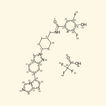 O=C(NCC1CCC(n2cc3ccc(-c4csc5cncn45)cc3n2)CC1)c1cc(F)c(O)c(F)c1.O=C(O)C(F)(F)F